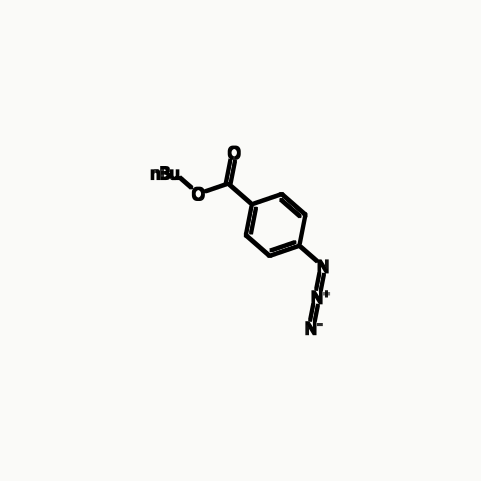 CCCCOC(=O)c1ccc(N=[N+]=[N-])cc1